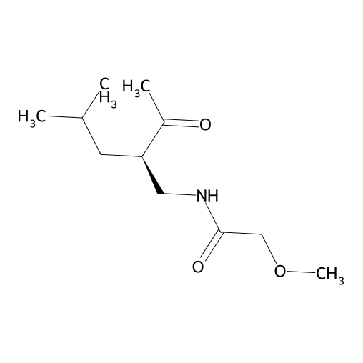 COCC(=O)NC[C@@H](CC(C)C)C(C)=O